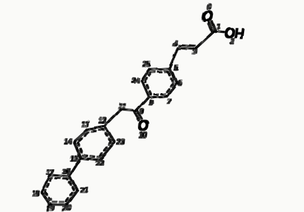 O=C(O)C=Cc1ccc(C(=O)Cc2ccc(-c3ccccc3)cc2)cc1